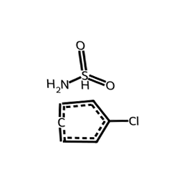 Clc1ccccc1.N[SH](=O)=O